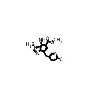 COC(=O)c1cc(Cc2ccc(Cl)nc2)c2ncn(C)c2c1N